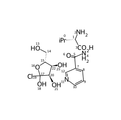 CC(C)[C@H](N)C(=O)O.NC(=O)c1cccnc1.OC[C@H]1OC(O)(Cl)[C@H](O)[C@@H]1O